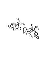 CC(C)Nc1cc(-c2ccc(C(CN(C[C@H](O)c3ccc(Cl)nc3)C(=O)O)C(C)(C)C)cc2)ccc1C(=O)NS(C)(=O)=O